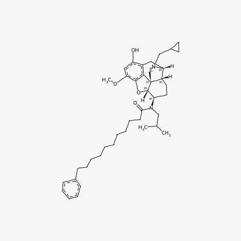 COc1cc(O)c2c3c1O[C@H]1[C@H](N(CC(C)C)C(=O)CCCCCCCCCCc4ccccc4)CC[C@H]4[C@@H](C2)N(CC2CC2)CC[C@@]341